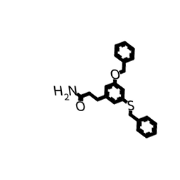 NC(=O)CCc1cc(OCc2ccccc2)cc(SCc2ccccc2)c1